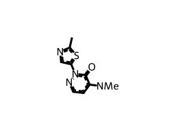 CNc1ccnn(-c2cnc(C)s2)c1=O